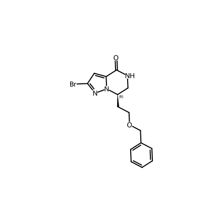 O=C1NC[C@@H](CCOCc2ccccc2)n2nc(Br)cc21